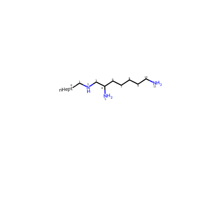 CCCCCCCCNCC(N)CCCCCN